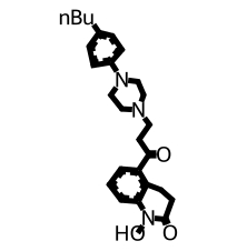 CCCCc1ccc(N2CCN(CCC(=O)c3cccc4c3CCC(=O)N4O)CC2)cc1